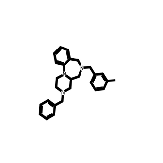 Cc1cccc(CN2Cc3ccccc3N3CCN(Cc4ccccc4)CC3C2)c1